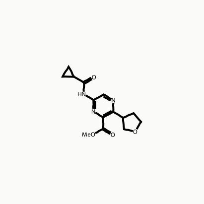 COC(=O)c1nc(NC(=O)C2CC2)cnc1C1CCOC1